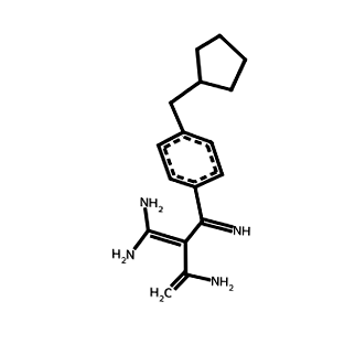 C=C(N)C(C(=N)c1ccc(CC2CCCC2)cc1)=C(N)N